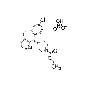 CCOC(=O)N1CCC(=C2c3ccc(Cl)cc3CCc3cccnc32)CC1.O=[N+]([O-])O